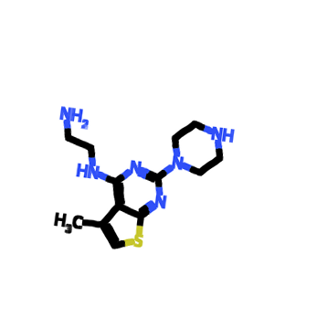 Cc1csc2nc(N3CCNCC3)nc(NCCN)c12